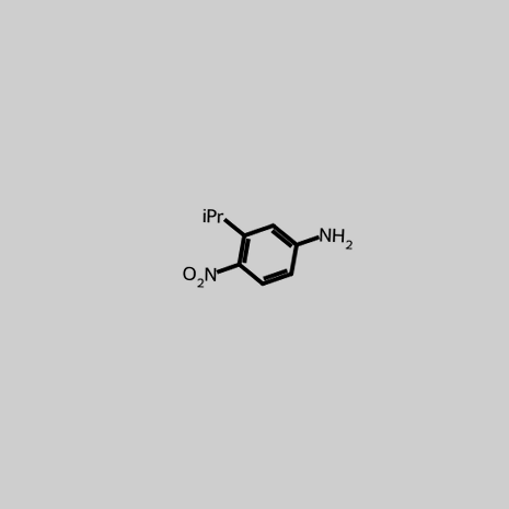 CC(C)c1cc(N)ccc1[N+](=O)[O-]